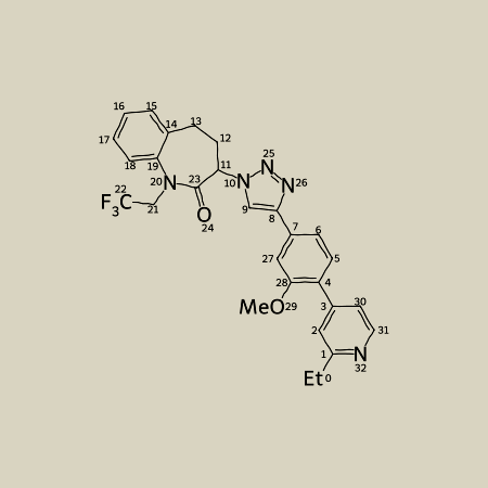 CCc1cc(-c2ccc(-c3cn(C4CCc5ccccc5N(CC(F)(F)F)C4=O)nn3)cc2OC)ccn1